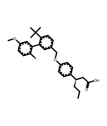 CCC[C@H](CC(=O)O)c1ccc(OCc2ccc(C(C)(C)C)c(-c3cc(OC)ccc3F)c2)cc1